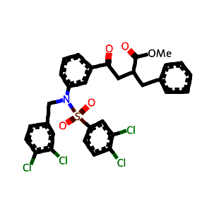 COC(=O)C(CC(=O)c1cccc(N(Cc2ccc(Cl)c(Cl)c2)S(=O)(=O)c2ccc(Cl)c(Cl)c2)c1)Cc1ccccc1